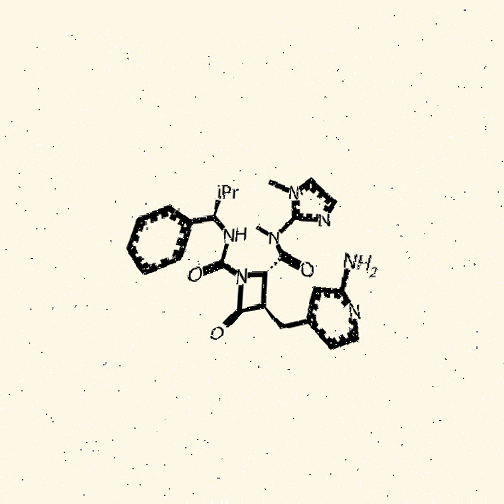 CC(C)[C@@H](NC(=O)N1C(=O)[C@H](Cc2ccnc(N)c2)[C@H]1C(=O)N(C)c1nccn1C)c1ccccc1